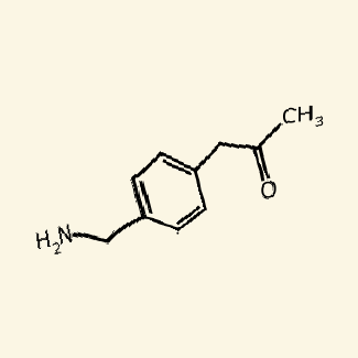 CC(=O)Cc1c[c]c(CN)cc1